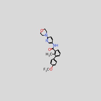 Cc1c(C(=O)Nc2ccc(N3CCOCC3)nc2)cccc1-c1ccc(OC(F)(F)F)cc1